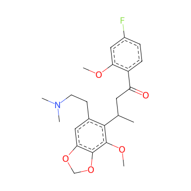 COc1cc(F)ccc1C(=O)CC(C)c1c(CCN(C)C)cc2c(c1OC)OCO2